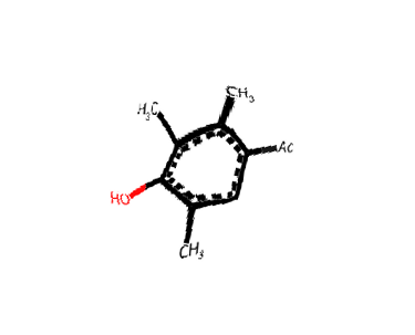 CC(=O)c1cc(C)c(O)c(C)c1C